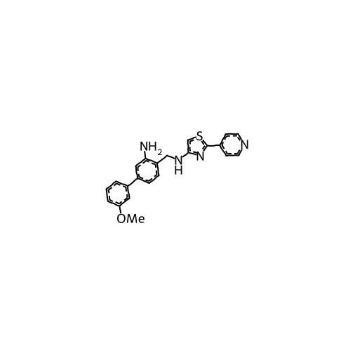 COc1cccc(-c2ccc(CNc3csc(-c4ccncc4)n3)c(N)c2)c1